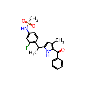 Cc1cc(C(C)c2ccc(NS(C)(=O)=O)cc2F)[nH]c1C(=O)c1ccccc1